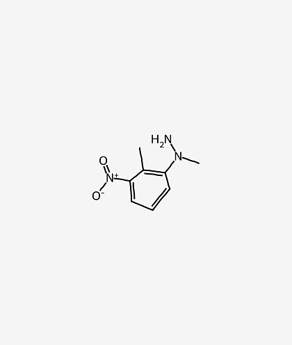 Cc1c(N(C)N)cccc1[N+](=O)[O-]